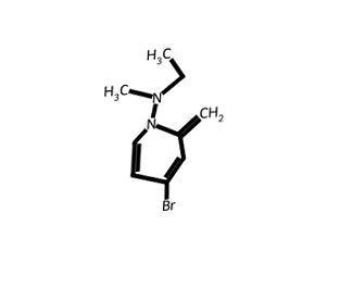 C=C1C=C(Br)C=CN1N(C)CC